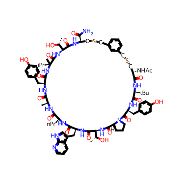 CCC[C@@H]1NC(=O)[C@H](Cc2c[nH]c3ncccc23)NC(=O)[C@H]([C@@H](C)O)NC(=O)[C@@H]2CCCN2C(=O)[C@H](Cc2ccc(O)cc2)NC(=O)[C@H](C(C)(C)C)NC(=O)[C@@H](NC(C)=O)CSCc2cccc(c2)CSC[C@H](C(N)=O)NC(=O)[C@H]([C@@H](C)O)NC(=O)[C@](C)(C(C)C)NC(=O)[C@H](Cc2ccc(O)cc2)NC(=O)[C@H](C)NC1=O